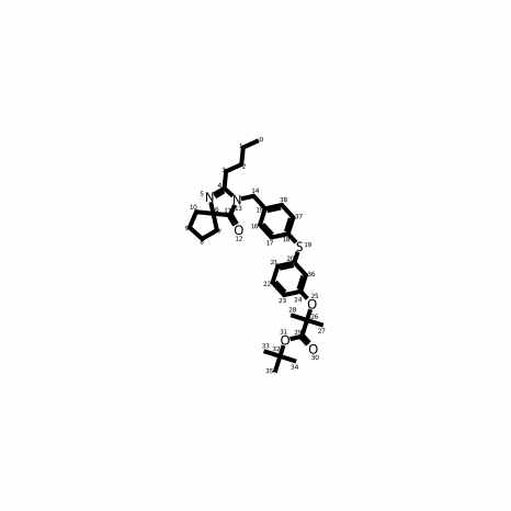 CCCCC1=NC2(CCCC2)C(=O)N1Cc1ccc(Sc2cccc(OC(C)(C)C(=O)OC(C)(C)C)c2)cc1